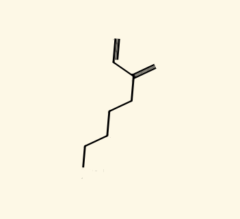 C=CC(=C)CCCCCCCCC